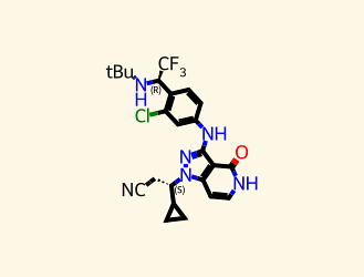 CC(C)(C)N[C@H](c1ccc(Nc2nn([C@@H](CC#N)C3CC3)c3cc[nH]c(=O)c23)cc1Cl)C(F)(F)F